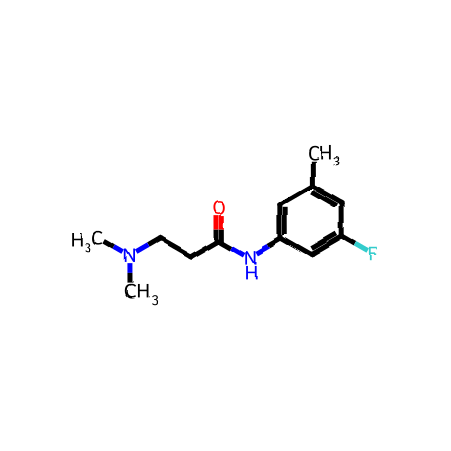 Cc1cc(F)cc(NC(=O)CCN(C)C)c1